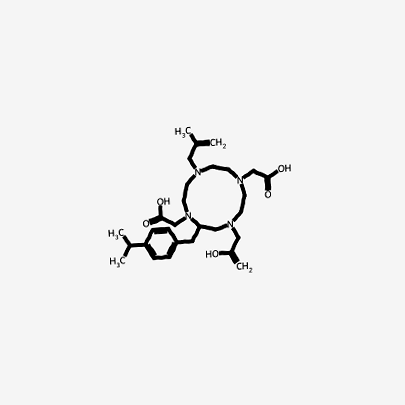 C=C(C)CN1CCN(CC(=O)O)CCN(CC(=C)O)CC(Cc2ccc(C(C)C)cc2)N(CC(=O)O)CC1